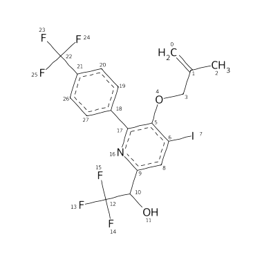 C=C(C)COc1c(I)cc(C(O)C(F)(F)F)nc1-c1ccc(C(F)(F)F)cc1